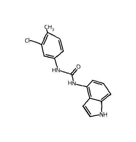 Cc1ccc(NC(=O)Nc2cccc3[nH]ccc23)cc1Cl